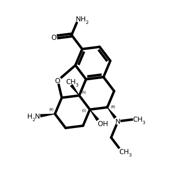 CCN(C)[C@@H]1Cc2ccc(C(N)=O)c3c2[C@@]2(C)C(O3)[C@H](N)CC[C@@]12O